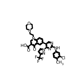 Cc1ccc(Nc2ncc(-c3ccc4c(c3)c(=O)c(C(=O)O)cn4CCN3CCOCC3)c(-n3ccc(C(F)(F)F)n3)n2)cc1Cl